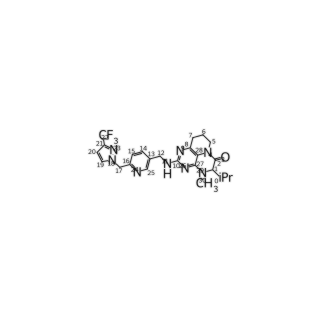 CC(C)C1C(=O)N2CCCc3nc(NCc4ccc(Cn5ccc(C(F)(F)F)n5)nc4)nc(c32)N1C